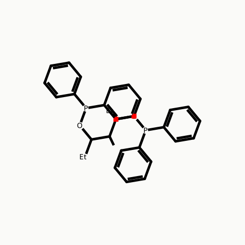 CCC(OP(c1ccccc1)c1ccccc1)C(C)C(CC)OP(c1ccccc1)c1ccccc1